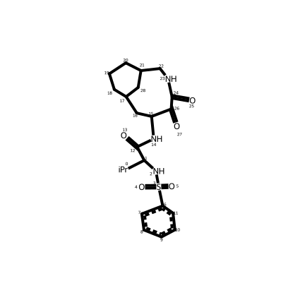 CC(C)C(NS(=O)(=O)c1ccccc1)C(=O)NC1CC2CCCC(CNC(=O)C1=O)C2